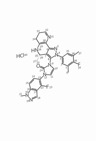 Cc1cc(-n2nc3c(c2-n2ccn(-c4ccc5c(cnn5C)c4F)c2=O)[C@H](C)NC2=C3N=CCC2)cc(C)c1F.Cl